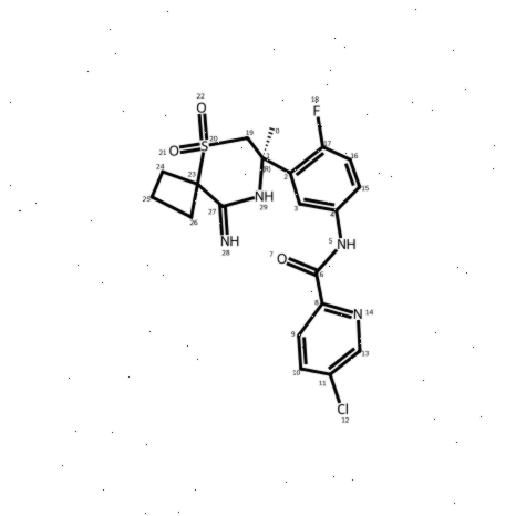 C[C@@]1(c2cc(NC(=O)c3ccc(Cl)cn3)ccc2F)CS(=O)(=O)C2(CCC2)C(=N)N1